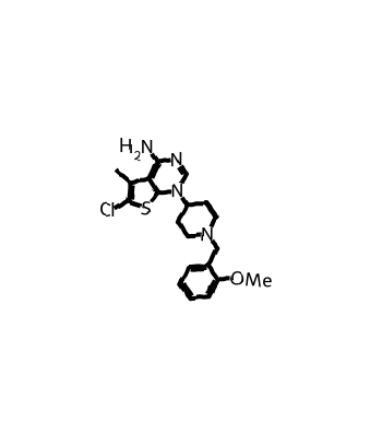 COc1ccccc1CN1CCC(N2C=NC(N)=C3C(C)=C(Cl)SC32)CC1